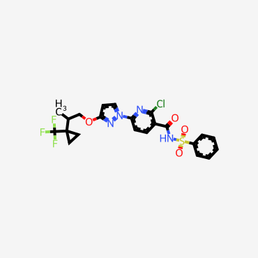 CC(COc1ccn(-c2ccc(C(=O)NS(=O)(=O)c3ccccc3)c(Cl)n2)n1)C1(C(F)(F)F)CC1